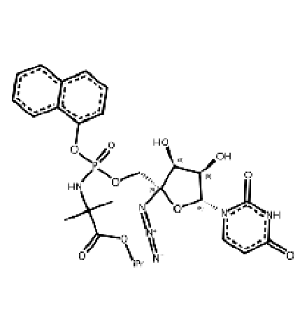 CC(C)OC(=O)C(C)(C)NP(=O)(OC[C@@]1(N=[N+]=[N-])O[C@@H](n2ccc(=O)[nH]c2=O)[C@H](O)[C@@H]1O)Oc1cccc2ccccc12